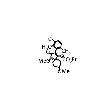 CCOC(=O)OC1=C(c2c(C)ccc(Cl)c2C)C(=O)N(OC)C12CCN(OC)CC2